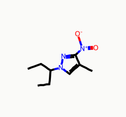 CCC(CC)n1cc(C)c([N+](=O)[O-])n1